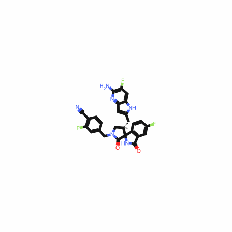 N#Cc1ccc(CN2C[C@H](Cc3cc4nc(N)c(F)cc4[nH]3)C3(NC(=O)c4cc(F)ccc43)C2=O)cc1F